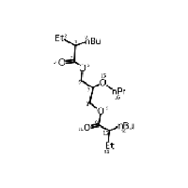 CCCCC(CC)C(=O)OCC(COC(=O)C(CC)CCCC)OCCC